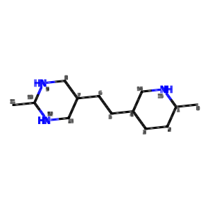 CC1CCC(CCC2CNC(C)NC2)CN1